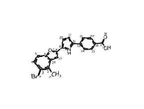 Cc1c(Br)ccc2oc(-c3ccc(-c4ccc(C(=O)O)cc4)[nH]3)cc12